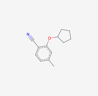 Cc1ccc(C#N)c(OC2CCCC2)c1